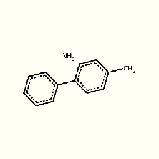 Cc1ccc(-c2ccccc2)cc1.N